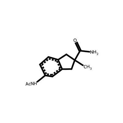 CC(=O)Nc1ccc2c(c1)CC(C)(C(N)=O)C2